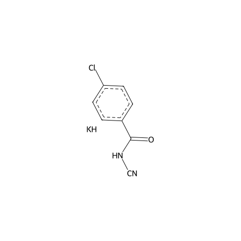 N#CNC(=O)c1ccc(Cl)cc1.[KH]